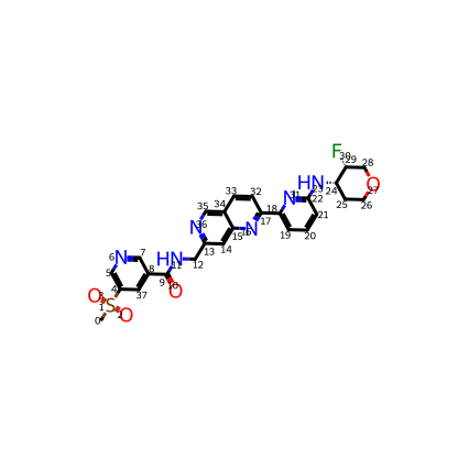 CS(=O)(=O)c1cncc(C(=O)NCc2cc3nc(-c4cccc(N[C@H]5CCOC[C@H]5F)n4)ccc3cn2)c1